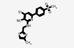 CCc1cc(-c2ccc(S(C)(=O)=O)cc2)nc(NCc2nc(C)cs2)c1C#N